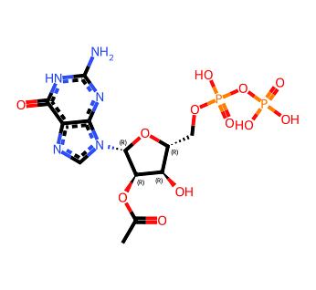 CC(=O)O[C@@H]1[C@H](O)[C@@H](COP(=O)(O)OP(=O)(O)O)O[C@H]1n1cnc2c(=O)[nH]c(N)nc21